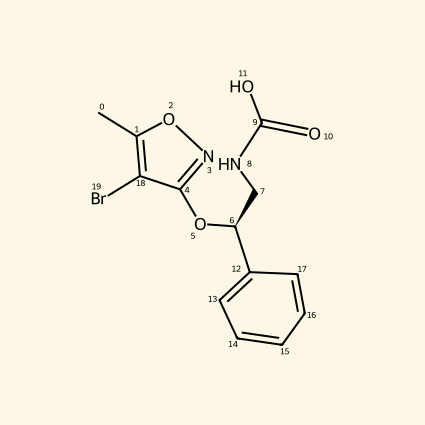 Cc1onc(O[C@@H](CNC(=O)O)c2ccccc2)c1Br